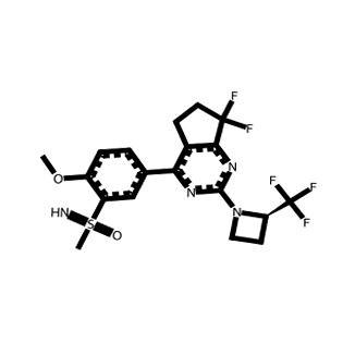 COc1ccc(-c2nc(N3CC[C@@H]3C(F)(F)F)nc3c2CCC3(F)F)cc1S(C)(=N)=O